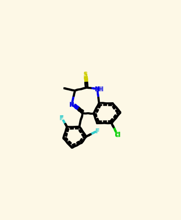 CC1N=C(c2c(F)cccc2F)c2cc(Cl)ccc2NC1=S